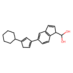 OC(O)C1C=Cc2cc(C3=CCC(C4CCCCC4)=C3)ccc21